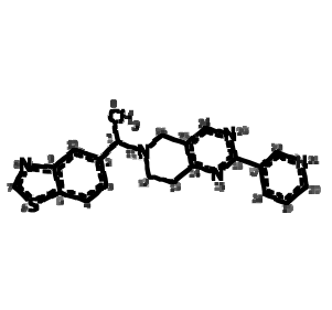 CC(c1ccc2scnc2c1)N1CCc2nc(-c3cccnc3)ncc2C1